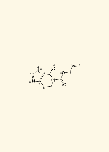 C=CCOC(=O)N1CCc2nc[nH]c2C1CC